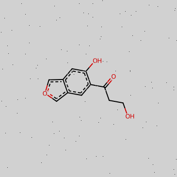 O=C(CCO)c1cc2cocc2cc1O